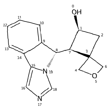 O[C@H]1CC2(COC2)[C@H]1[C@H]1c2ccccc2-c2cncn21